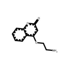 NCCOc1cc(=O)oc2ccccc12